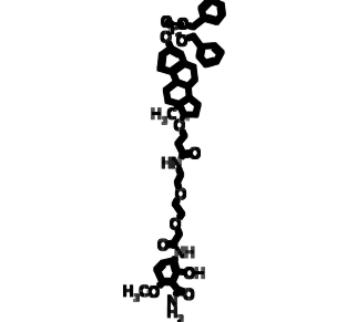 COc1ccc(NC(=O)COCCOCCNC(=O)CCO[C@@H]2CCC3C4CCc5cc(OP(=O)(OCc6ccccc6)OCc6ccccc6)ccc5C4CCC32C)c(O)c1C(N)=O